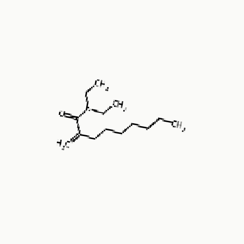 C=C(CCCCCCC)C(=O)N(CC)CC